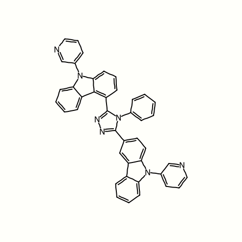 c1ccc(-n2c(-c3ccc4c(c3)c3ccccc3n4-c3cccnc3)nnc2-c2cccc3c2c2ccccc2n3-c2cccnc2)cc1